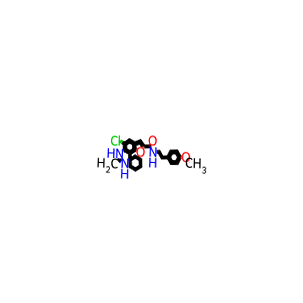 C=C1Nc2c(Cl)cc3cc(C(=O)NCCc4ccc(OC)cc4)oc3c2C2(CCCCC2)N1